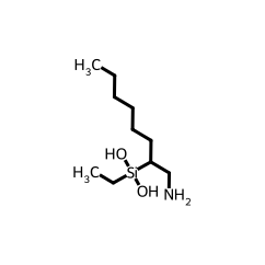 CCCCCCC(CN)[Si](O)(O)CC